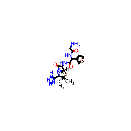 CC1(C)S[C@@H]2C(NC(=O)C(NC(=O)CN)c3ccsc3)C(=O)N2C1c1nnn[nH]1